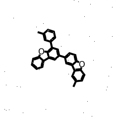 Cc1cccc(-c2cc(-c3ccc4oc5ccc(C)cc5c4c3)cc3c2oc2ccccc23)c1